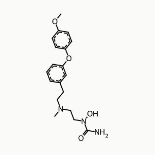 COc1ccc(Oc2cccc(CCN(C)CCN(O)C(N)=O)c2)cc1